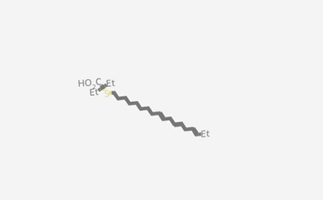 CCC=CCC=CCC=CCCCCCCCCSC(CC)(CC)C(=O)O